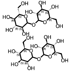 OC[C@@H]1OC(OC2O[C@H](CO)[C@@H](O)[C@H](O)[C@H]2O)[C@@H](O)[C@H](O)[C@H]1O.OC[C@H]1OC(OC2O[C@H](CO)[C@@H](O)[C@H](O)[C@H]2O)[C@H](O)[C@@H](O)[C@@H]1O